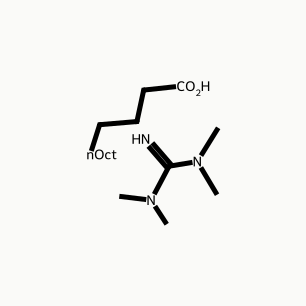 CCCCCCCCCCCC(=O)O.CN(C)C(=N)N(C)C